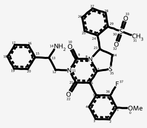 COc1cccc(-c2c3n(c(=O)n(CC(N)c4ccccc4)c2=O)C(c2ccccc2S(C)(=O)=O)CS3)c1F